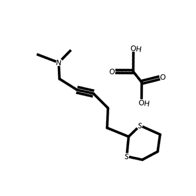 CN(C)CC#CCCC1SCCCS1.O=C(O)C(=O)O